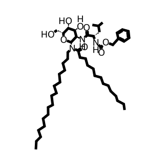 CCCCCCCCCCCCCCCCCCN(C(=O)CCCCCCCCCCCCC)[C@@H]1O[C@H](CO)[C@H](O)[C@H](O)[C@H]1NC(=O)[C@H](CC(C)C)NC(=O)OCc1ccccc1